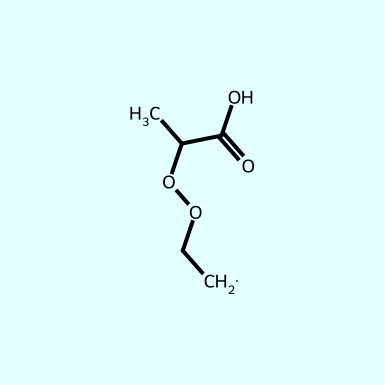 [CH2]COOC(C)C(=O)O